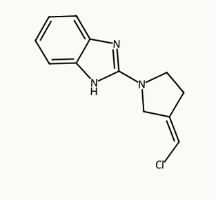 ClC=C1CCN(c2nc3ccccc3[nH]2)C1